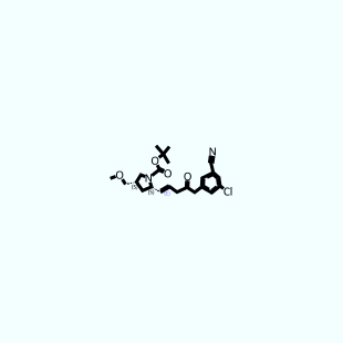 COC[C@H]1C[C@@H](/C=C/CC(=O)Cc2cc(Cl)cc(C#N)c2)N(C(=O)OC(C)(C)C)C1